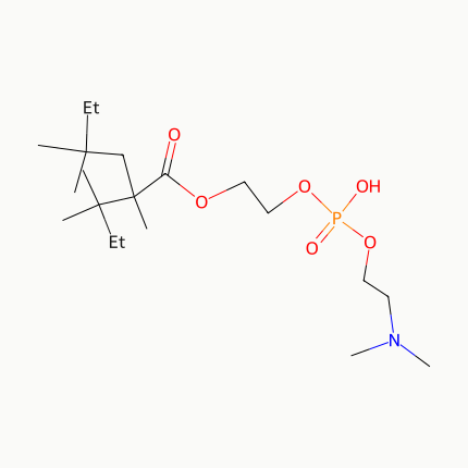 CCC(C)(C)CC(C)(C(=O)OCCOP(=O)(O)OCCN(C)C)C(C)(C)CC